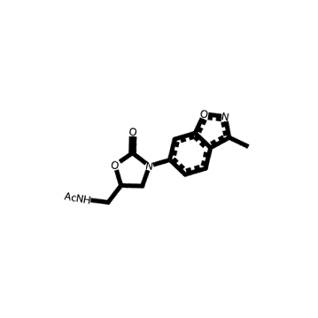 CC(=O)NCC1CN(c2ccc3c(C)noc3c2)C(=O)O1